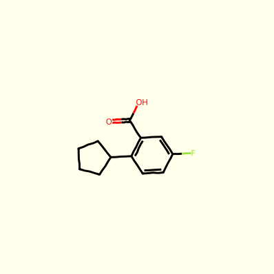 O=C(O)c1cc(F)ccc1C1CCCC1